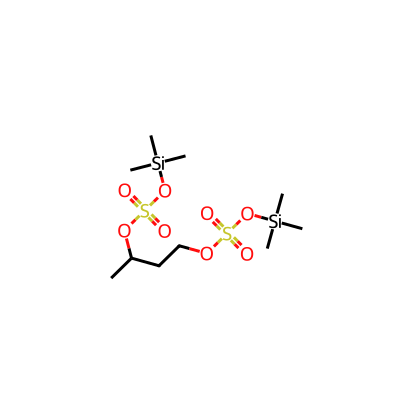 CC(CCOS(=O)(=O)O[Si](C)(C)C)OS(=O)(=O)O[Si](C)(C)C